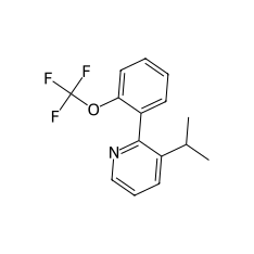 CC(C)c1cccnc1-c1ccccc1OC(F)(F)F